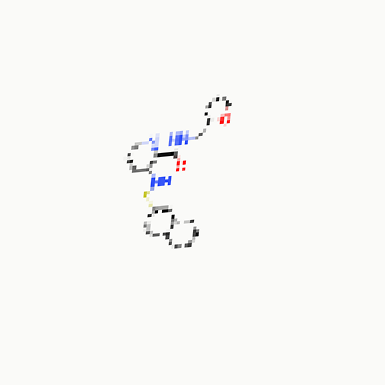 O=C(NCc1ccco1)c1ncccc1NSc1ccc2ccccc2c1